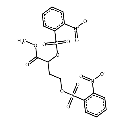 COC(=O)C(CCOS(=O)(=O)c1ccccc1[N+](=O)[O-])OS(=O)(=O)c1ccccc1[N+](=O)[O-]